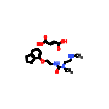 CNCCN(C)C(=O)NCCOc1cccc2c1CCC2.O=C(O)C=CC(=O)O